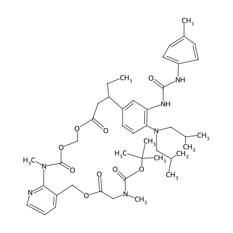 CCC(CC(=O)OCOC(=O)N(C)c1ncccc1COC(=O)CN(C)C(=O)OC(C)(C)C)c1ccc(N(CC(C)C)CC(C)C)c(NC(=O)Nc2ccc(C)cc2)c1